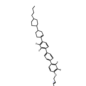 C/C=C/COc1ccc(-c2ccc(-c3ccc(C4=CCC(C5CCC(CCCC)CC5)CC4)c(F)c3F)cc2)c(F)c1F